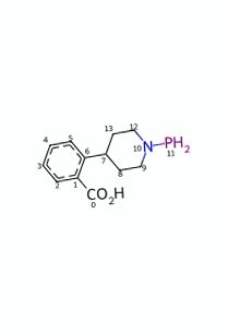 O=C(O)c1ccccc1C1CCN(P)CC1